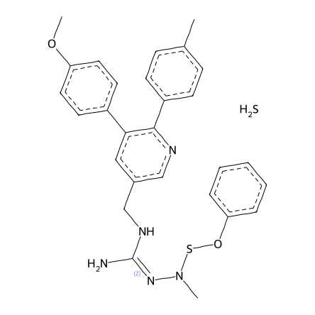 COc1ccc(-c2cc(CN/C(N)=N\N(C)SOc3ccccc3)cnc2-c2ccc(C)cc2)cc1.S